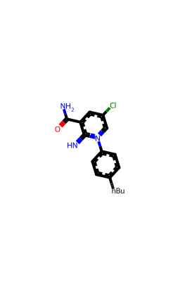 CCCCc1ccc(-n2cc(Cl)cc(C(N)=O)c2=N)cc1